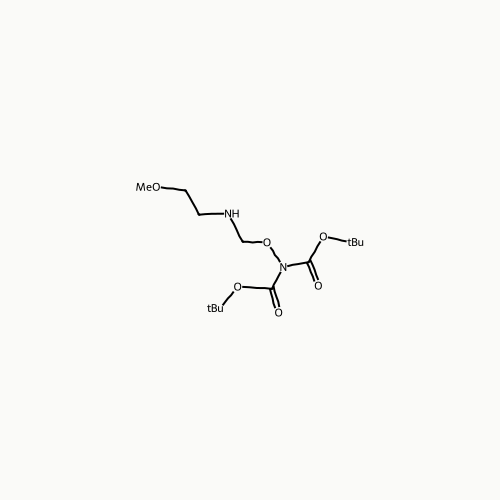 COCCNCON(C(=O)OC(C)(C)C)C(=O)OC(C)(C)C